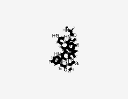 CC[C@H](NC(=O)[C@H](C)NC)C(=O)N1C[C@@H](O)C[C@H]1Cc1c(-c2[nH]c3cc(F)ccc3c2C[C@@H]2CC3(CC3)CN2C(=O)[C@H](CC)NC(=O)[C@H](C)NC)[nH]c2cc(F)ccc12